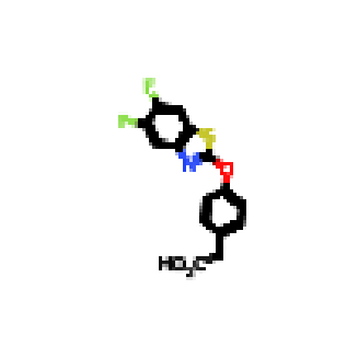 O=C(O)Cc1ccc(Oc2nc3cc(F)c(F)cc3s2)cc1